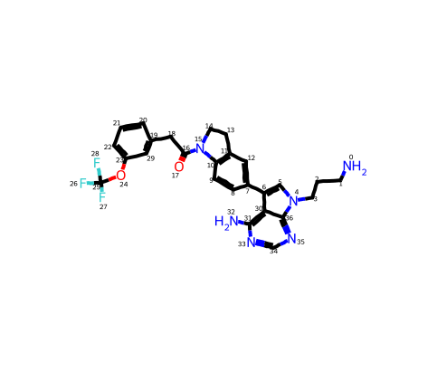 NCCCn1cc(-c2ccc3c(c2)CCN3C(=O)Cc2cccc(OC(F)(F)F)c2)c2c(N)ncnc21